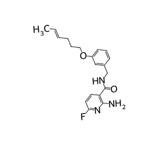 CC=CCCCOc1cccc(CNC(=O)c2ccc(F)nc2N)c1